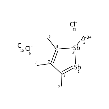 C[C]1=[Sb][Sb]([Zr+3])[C](C)=C1C.[Cl-].[Cl-].[Cl-]